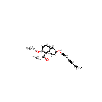 C#CC#CC#COc1ccc2c(C(=O)CCCCCC)c(OCCCCCC)ccc2c1